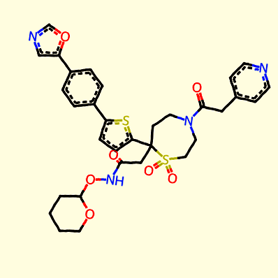 O=C(CC1(c2ccc(-c3ccc(-c4cnco4)cc3)s2)CCN(C(=O)Cc2ccncc2)CCS1(=O)=O)NOC1CCCCO1